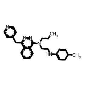 CCCN(CCNC1=CCC(C)C=C1)c1nnc(Cc2ccncc2)c2ccccc12